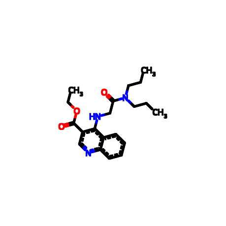 CCCN(CCC)C(=O)CNc1c(C(=O)OCC)cnc2ccccc12